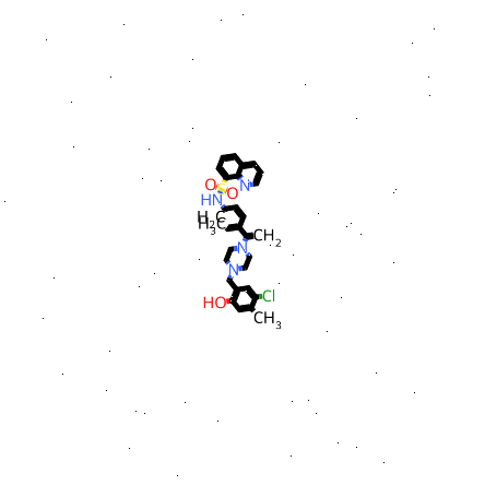 C=C(/C=C\C(=C/C)C(=C)N1CCN(Cc2cc(Cl)c(C)cc2O)CC1)NS(=O)(=O)c1cccc2cccnc12